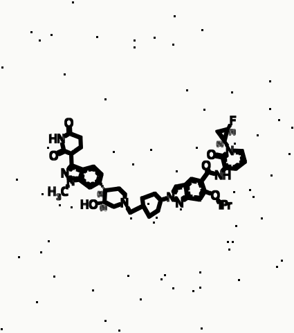 CC(C)Oc1cc2nn(C3CCC(CN4CC[C@@H](c5ccc6c(C7CCC(=O)NC7=O)nn(C)c6c5)[C@H](O)C4)CC3)cc2cc1C(=O)Nc1cccn([C@H]2C[C@H]2F)c1=O